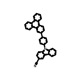 N#Cc1ccc2c(c1)c1ccccc1n2-c1ccc(-c2ccc3c4ccccc4c4ccccc4c3c2)cc1